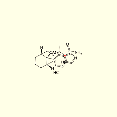 CO[C@]1(c2cccc(C(N)=O)c2)[C@@H]2CCC[C@H]1CN([C@H](C)c1cnc[nH]1)C2.Cl